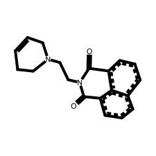 O=C1c2cccc3cccc(c23)C(=O)N1CCN1CC=CCC1